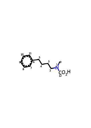 CN(CCCCc1ccccc1)C(=O)O